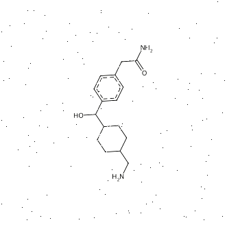 NCC1CCC(C(O)c2ccc(CC(N)=O)cc2)CC1